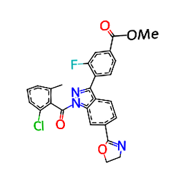 COC(=O)c1ccc(-c2nn(C(=O)c3c(C)cccc3Cl)c3cc(C4=NCCO4)ccc23)c(F)c1